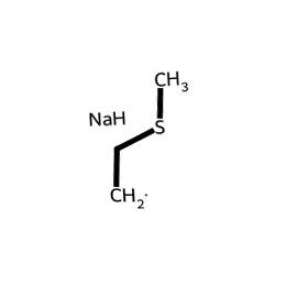 [CH2]CSC.[NaH]